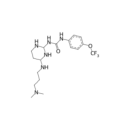 CN(C)CCCNC1CCNC(NC(=O)Nc2ccc(OC(F)(F)F)cc2)N1